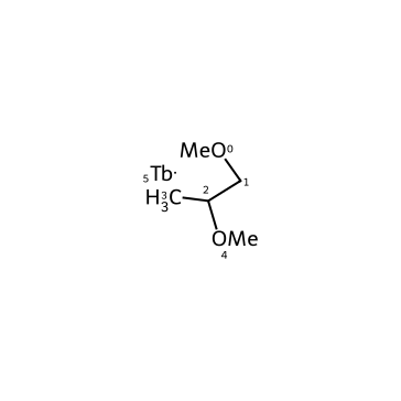 COCC(C)OC.[Tb]